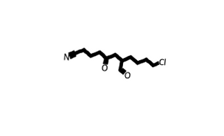 N#CCCCC(=O)CC(C=O)CCCCCl